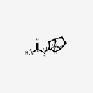 CN1C2CCC1CC(NC(N)=O)C2